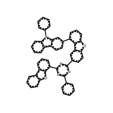 c1ccc(-c2nc(-c3ccc4oc5cccc(-c6ccc7c8ccccc8n(-c8ccccc8)c7c6)c5c4c3)nc(-c3cccc4c3oc3ccccc34)n2)cc1